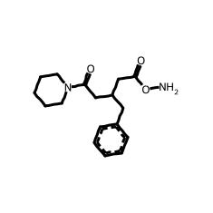 NOC(=O)CC(CC(=O)N1CCCCC1)Cc1ccccc1